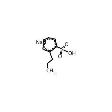 CCCc1ccccc1S(=O)(=O)O.[NaH]